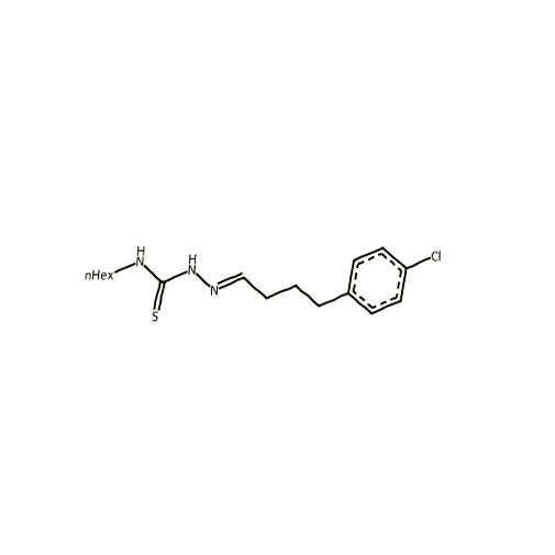 CCCCCCNC(=S)NN=CCCCc1ccc(Cl)cc1